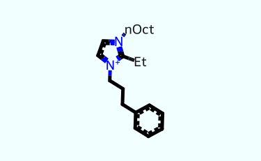 CCCCCCCCn1cc[n+](CCCc2ccccc2)c1CC